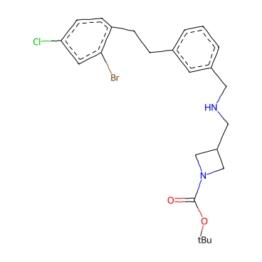 CC(C)(C)OC(=O)N1CC(CNCc2cccc(CCc3ccc(Cl)cc3Br)c2)C1